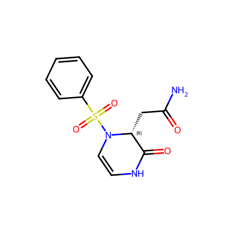 NC(=O)C[C@@H]1C(=O)NC=CN1S(=O)(=O)c1ccccc1